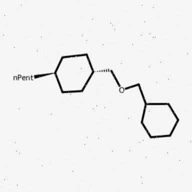 CCCCC[C@H]1CC[C@H](COCC2CCCCC2)CC1